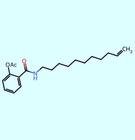 C=CCCCCCCCCCNC(=O)c1ccccc1OC(C)=O